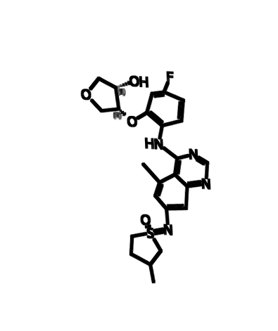 Cc1cc(N=S2(=O)CCC(C)C2)cc2ncnc(Nc3ccc(F)cc3O[C@@H]3COC[C@@H]3O)c12